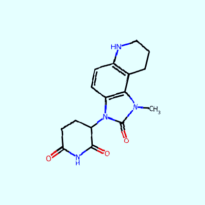 Cn1c(=O)n(C2CCC(=O)NC2=O)c2ccc3c(c21)CCCN3